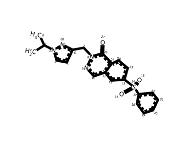 CC(C)n1ccc(Cn2ncc3cc(S(=O)(=O)c4ccccc4)ccc3c2=O)n1